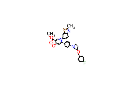 CCOC(=O)c1cn(-c2ccc3nc(C)sc3c2)c(-c2ccc(N3CCC(OCc4ccc(F)cc4)C3)cc2)cc1=O